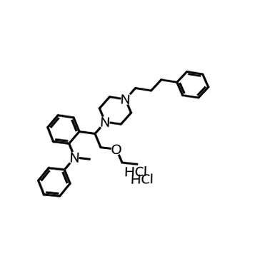 CCOCC(c1ccccc1N(C)c1ccccc1)N1CCN(CCCc2ccccc2)CC1.Cl.Cl